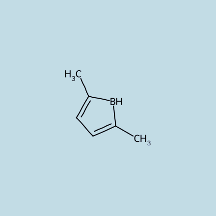 CC1=CC=C(C)B1